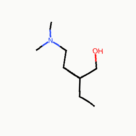 CCC(CO)CCN(C)C